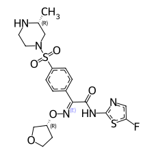 C[C@@H]1CN(S(=O)(=O)c2ccc(/C(=N\O[C@@H]3CCOC3)C(=O)Nc3ncc(F)s3)cc2)CCN1